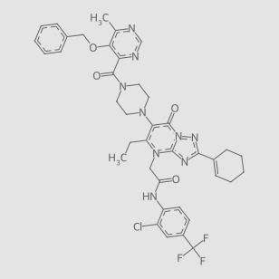 CCc1c(N2CCN(C(=O)c3ncnc(C)c3OCc3ccccc3)CC2)c(=O)n2nc(C3=CCCCC3)nc2n1CC(=O)Nc1ccc(C(F)(F)F)cc1Cl